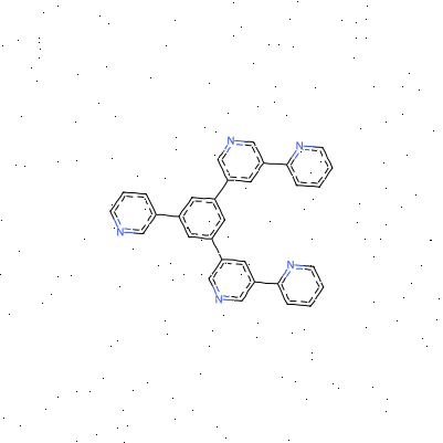 c1ccc(-c2cncc(-c3cc(-c4cccnc4)cc(-c4cncc(-c5ccccn5)c4)c3)c2)nc1